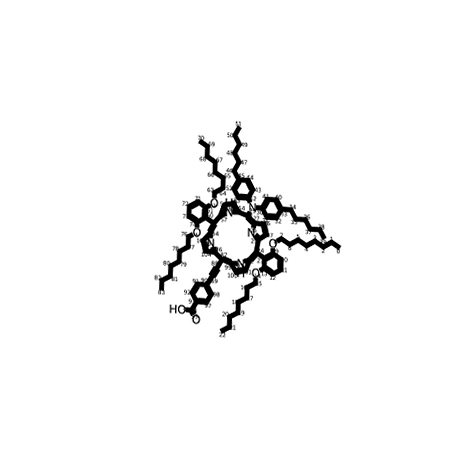 CCCCCCCCOc1cccc(OCCCCCCCC)c1-c1c2nc(c(N(c3ccc(CCCCCC)cc3)c3ccc(CCCCCC)cc3)c3ccc([nH]3)c(-c3c(OCCCCCCCC)cccc3OCCCCCCCC)c3nc(c(C#Cc4ccc(C(=O)O)cc4)c4ccc1[nH]4)C=C3)C=C2